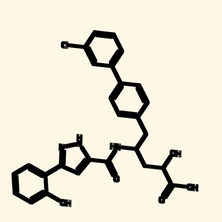 O=C(NC(Cc1ccc(-c2cccc(Cl)c2)cc1)CC(O)C(=O)O)c1cc(-c2ccccc2O)n[nH]1